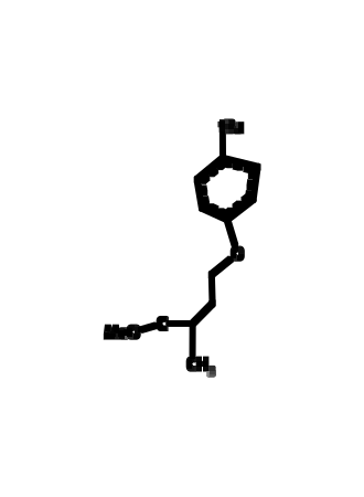 COCC(C)CCOc1ccc(C(C)(C)C)cc1